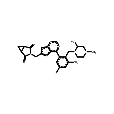 Cc1cc(Cl)cc(-c2ncnc3cc(CN4C(=O)C5CC5C4=O)sc23)c1CN1CCN(C)CC1C